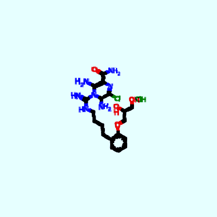 Cl.N=C(NCCCCc1ccccc1OCC(O)CO)N1C(N)=C(C(N)=O)N=C(Cl)C1N